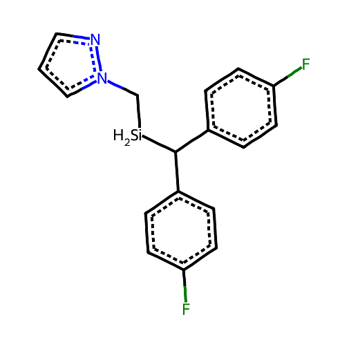 Fc1ccc(C([SiH2]Cn2cccn2)c2ccc(F)cc2)cc1